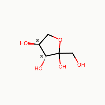 OCC1(O)OC[C@H](O)[C@H]1O